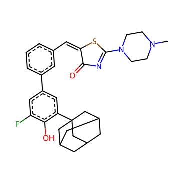 CN1CCN(C2=NC(=O)C(=Cc3cccc(-c4cc(F)c(O)c(C56CC7CC(CC(C7)C5)C6)c4)c3)S2)CC1